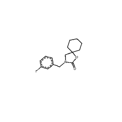 O=C1OC2(CCCCC2)CN1Cc1cccc(I)c1